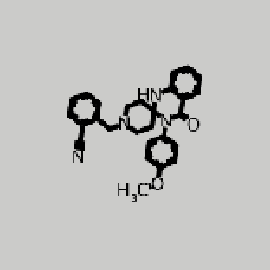 COc1ccc(N2C(=O)c3ccccc3NC23CCN(Cc2ccccc2C#N)CC3)cc1